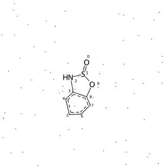 O=S1Nc2ccccc2O1